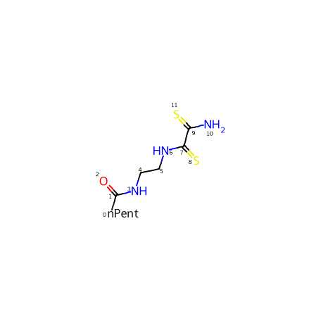 CCCCCC(=O)NCCNC(=S)C(N)=S